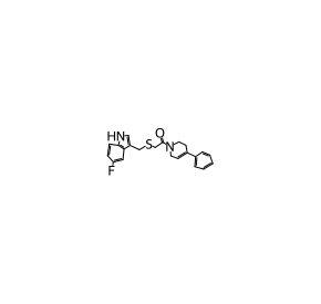 O=C(CSCc1c[nH]c2ccc(F)cc12)N1CC=C(c2ccccc2)CC1